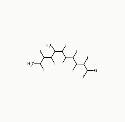 CCC(I)C(I)C(I)C(I)C(I)C(I)C(C)C(I)C(I)C(C)I